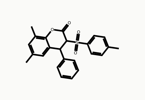 Cc1ccc(S(=O)(=O)C2C(=O)Oc3c(C)cc(C)cc3C2c2ccccc2)cc1